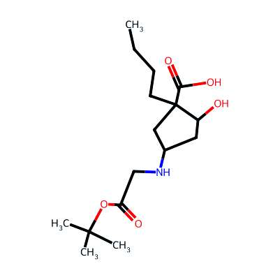 CCCCC1(C(=O)O)CC(NCC(=O)OC(C)(C)C)CC1O